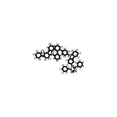 c1ccc(-c2nnc(-c3ccccc3)n2-c2ccc3c(c2)c2ccccc2n3-c2ccc(-c3ccccc3-c3ccccc3-n3c4ccccc4c4c5oc6ccccc6c5ccc43)cc2)cc1